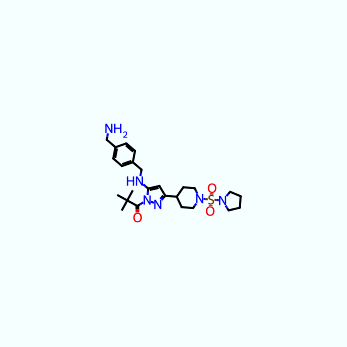 CC(C)(C)C(=O)n1nc(C2CCN(S(=O)(=O)N3CCCC3)CC2)cc1NCc1ccc(CN)cc1